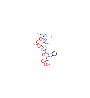 CCC(=O)O[C@H](C[C@H](C(C)C)N(C)C(=O)[C@@H](N)[C@@H](C)CC)c1nc(C(=O)NC(Cc2ccccc2)CC(C)C(=O)O)cs1